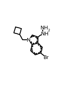 NNc1cn(CC2CCC2)c2ccc(Br)cc12